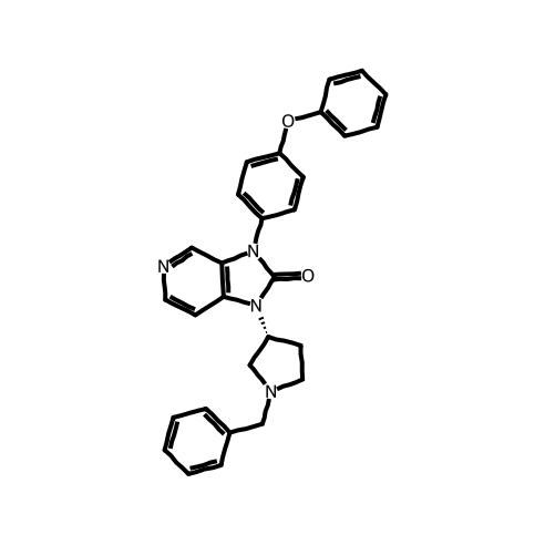 O=c1n(-c2ccc(Oc3ccccc3)cc2)c2cnccc2n1[C@@H]1CCN(Cc2ccccc2)C1